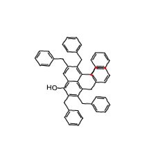 Oc1c(Cc2ccccc2)c(Cc2ccccc2)c(Cc2ccccc2)c2c(Cc3ccccc3)c(Cc3ccccc3)c(Cc3ccccc3)cc12